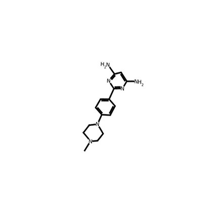 CN1CCN(c2ccc(-c3nc(N)cc(N)n3)cc2)CC1